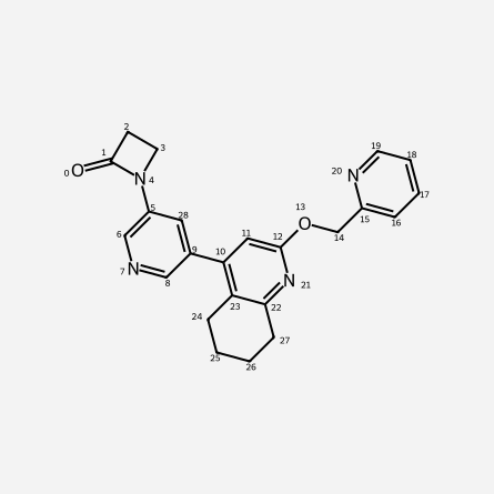 O=C1CCN1c1cncc(-c2cc(OCc3ccccn3)nc3c2CCCC3)c1